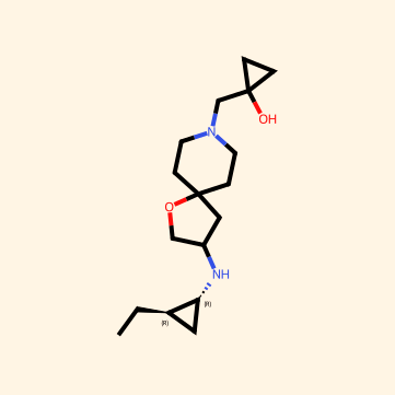 CC[C@@H]1C[C@H]1NC1COC2(CCN(CC3(O)CC3)CC2)C1